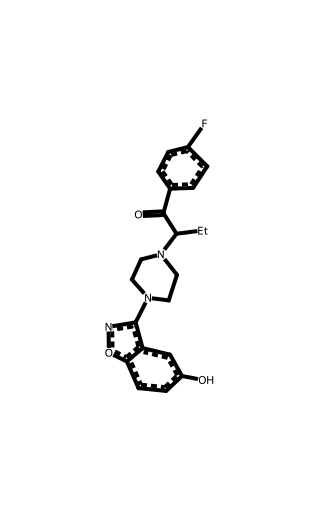 CCC(C(=O)c1ccc(F)cc1)N1CCN(c2noc3ccc(O)cc23)CC1